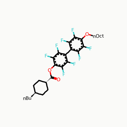 CCCCCCCCOc1c(F)c(F)c(-c2c(F)c(F)c(OC(=O)[C@H]3CC[C@H](CCCC)CC3)c(F)c2F)c(F)c1F